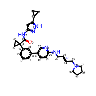 O=C(Nc1cc(C2CC2)[nH]n1)C1(c2cccc(-c3ccc(NC/C=C/CN4CCCC4)nc3)c2)CC1